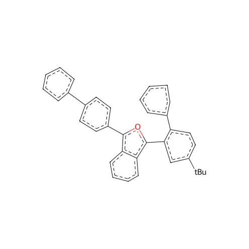 CC(C)(C)c1ccc(-c2ccccc2)c(-c2oc(-c3ccc(-c4ccccc4)cc3)c3ccccc23)c1